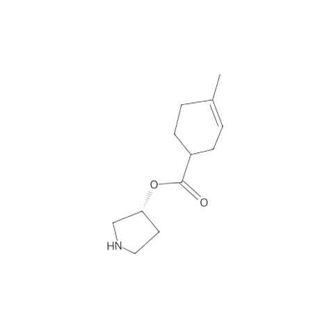 CC1=CCC(C(=O)O[C@@H]2CCNC2)CC1